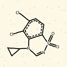 O=S1(=O)N=CN(C2CC2)c2c1ccc(Cl)c2Cl